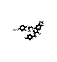 COc1ccc(NC(=O)Cn2cc(C(=O)c3ccc(C)cc3)c(=O)c3cc4c(cc32)OCO4)c(OC)c1